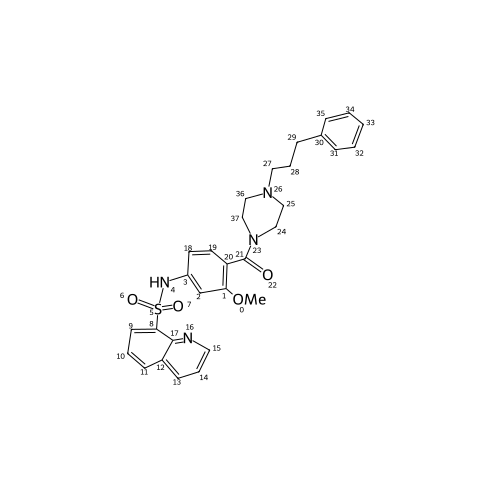 COc1cc(NS(=O)(=O)c2cccc3cccnc23)ccc1C(=O)N1CCN(CCCc2ccccc2)CC1